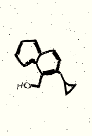 OCc1c(C2CC2)ccc2ccccc12